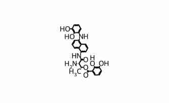 C[C@@H](OC(=O)c1cccc(O)c1O)[C@H](N)C(=O)Nc1cccc2c(Nc3cccc(O)c3O)cccc12